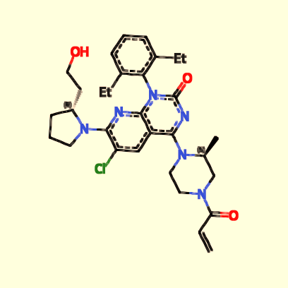 C=CC(=O)N1CCN(c2nc(=O)n(-c3c(CC)cccc3CC)c3nc(N4CCC[C@@H]4CCO)c(Cl)cc23)[C@@H](C)C1